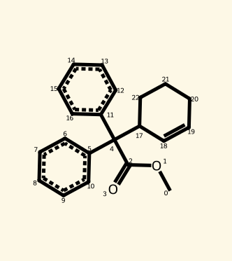 COC(=O)C(c1ccccc1)(c1ccccc1)C1C=CCCC1